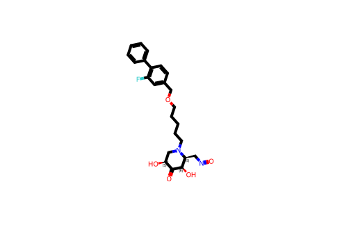 O=NC[C@H]1[C@@H](O)C(=O)[C@@H](O)CN1CCCCCOCc1ccc(-c2ccccc2)c(F)c1